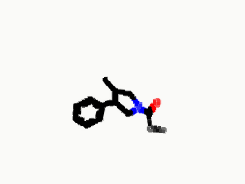 COC(=O)N1CC(C)C(c2ccccc2)C1